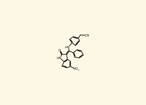 N#CCc1ccc(N/C(=C2\C(=O)Nc3ccc([N+](=O)[O-])cc32)c2ccccc2)cc1